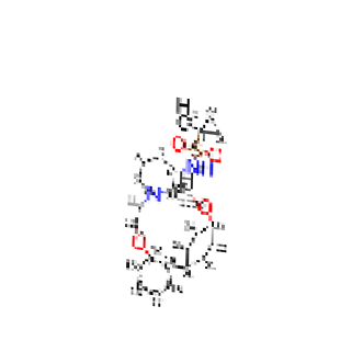 CC1(S(=O)(=O)N[C@H]2CCCN3CCOc4ccccc4C4CCC(CC4)OC[C@@H]23)CC1